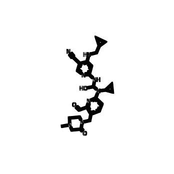 CN1CCN(Cc2ccc(N(C3CC3)C(O)Nc3cc(NCC4CC4)c(C#N)cn3)nc2C=O)C(=O)C1